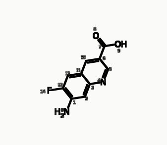 Nc1cc2ncc(C(=O)O)cc2cc1F